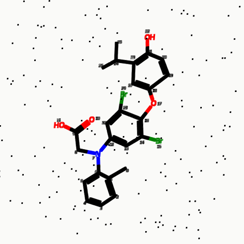 Cc1ccccc1N(CC(=O)O)c1cc(Br)c(Oc2ccc(O)c(C(C)C)c2)c(Br)c1